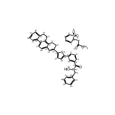 NC(=O)CC1C=CC=CS1(=O)=O.O=C(c1cccc(-c2ccc(C3=Cc4ccc5c(c4CC3)CCc3ccccc3-5)s2)c1)N(O)Cc1ccccc1